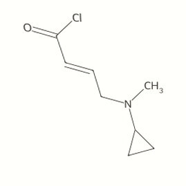 CN(CC=CC(=O)Cl)C1CC1